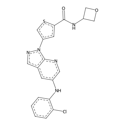 O=C(NC1COC1)c1cc(-n2ncc3cc(Nc4ccccc4Cl)cnc32)cs1